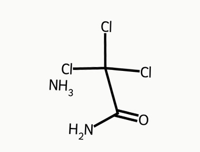 N.NC(=O)C(Cl)(Cl)Cl